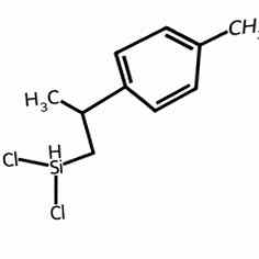 Cc1ccc(C(C)C[SiH](Cl)Cl)cc1